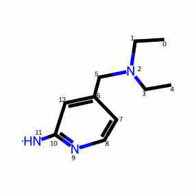 CCN(CC)Cc1ccnc([NH])c1